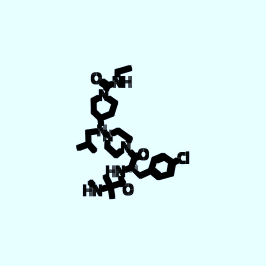 CCNC(=O)N1CCC(N(CC(C)C)N2CCN(C(=O)[C@@H](Cc3ccc(Cl)cc3)NC(=O)C(C)(C)NC)CC2)CC1